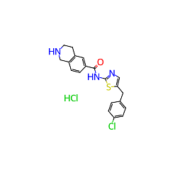 Cl.O=C(Nc1ncc(Cc2ccc(Cl)cc2)s1)c1ccc2c(c1)CCNC2